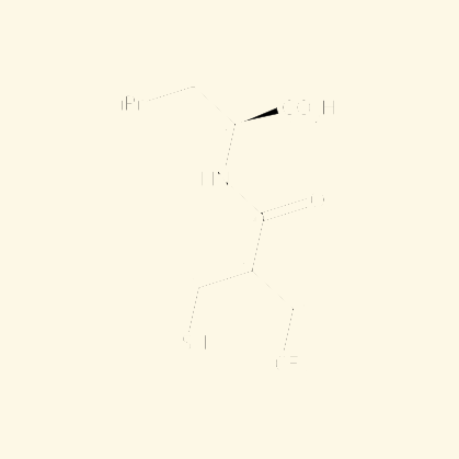 CC(C)C[C@H](NC(=O)C(CS)CC(F)(F)F)C(=O)O